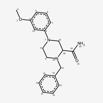 COc1cccc(N2CCN(Cc3ccccc3)C(C(N)=O)C2)c1